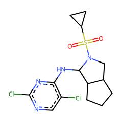 O=S(=O)(C1CC1)N1CC2CCCC2C1Nc1nc(Cl)ncc1Cl